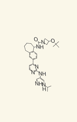 CC(C)N/C=C(\C=N)Nc1nccc(-c2ccc3c(c2)CCCCC3NC(=O)N2CC(OC(C)(C)C)C2)n1